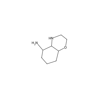 NC1CCCC2OCCNC12